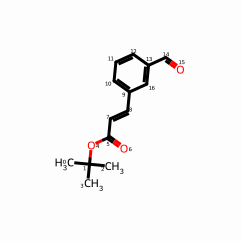 CC(C)(C)OC(=O)C=Cc1cccc(C=O)c1